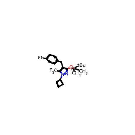 CCc1ccc(Cc2c(O[Si](C)(C)C(C)(C)C)nn(C3CCC3)c2C(F)(F)F)cc1